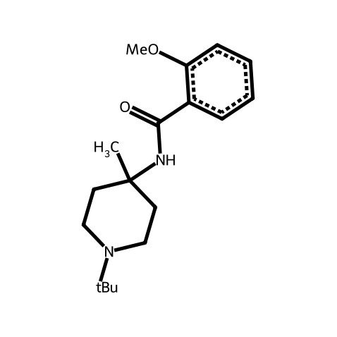 COc1ccccc1C(=O)NC1(C)CCN(C(C)(C)C)CC1